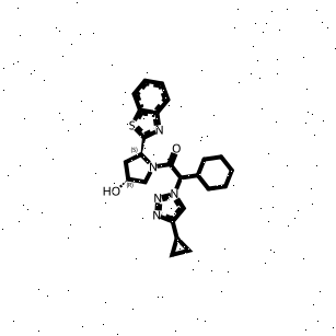 O=C(C(C1CCCCC1)n1cc(C2CC2)nn1)N1C[C@H](O)C[C@H]1c1nc2ccccc2s1